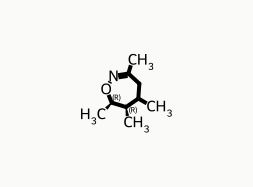 CC1=NO[C@H](C)[C@H](C)C(C)C1